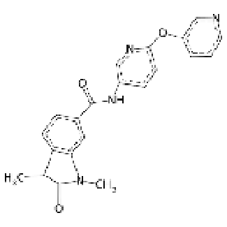 CC1C(=O)N(C)c2cc(C(=O)Nc3ccc(Oc4cccnc4)nc3)ccc21